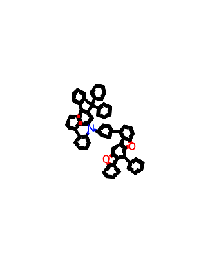 c1ccc(-c2ccccc2N(c2ccc(-c3cccc4oc5c(-c6ccccc6)c6c(cc5c34)oc3ccccc36)cc2)c2ccc3c(c2)C(c2ccccc2)(c2ccccc2)c2ccccc2-3)cc1